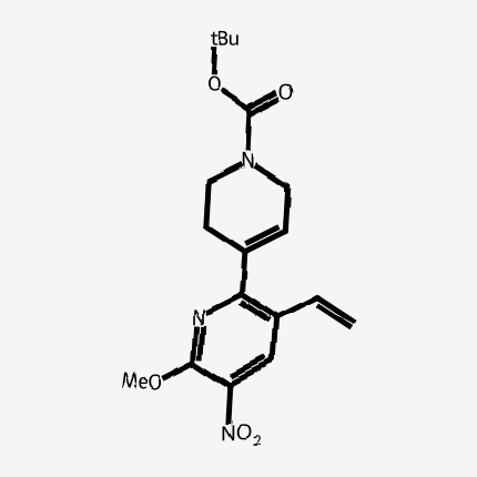 C=Cc1cc([N+](=O)[O-])c(OC)nc1C1=CCN(C(=O)OC(C)(C)C)CC1